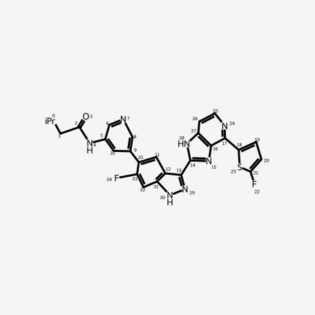 CC(C)CC(=O)Nc1cncc(-c2cc3c(-c4nc5c(-c6ccc(F)s6)nccc5[nH]4)n[nH]c3cc2F)c1